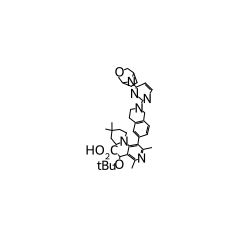 Cc1nc(C)c(C(OC(C)(C)C)C(=O)O)c(N2CCC(C)(C)CC2)c1-c1ccc2c(c1)CCN(c1nccc(N3C4CCC3COC4)n1)C2